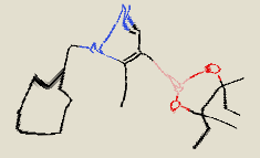 Cc1c(B2OC(C)(C)C(C)(C)O2)cnn1CC1CCCCC1